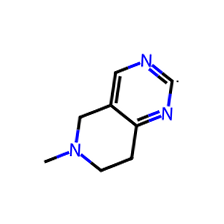 CN1CCc2n[c]ncc2C1